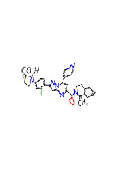 C[C@@H]1c2ccccc2CCN1C(=O)c1cc(-c2ccncc2)n2nc(-c3ccc(N4CC[C@H](C(=O)O)C4)cc3F)cc2n1